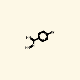 N=NC(=N)c1ccc(Br)cc1